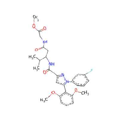 COC(=O)CNC(=O)CC(NC(=O)c1cc(-c2c(OC)cccc2OC)n(-c2cccc(F)c2)n1)C(C)C